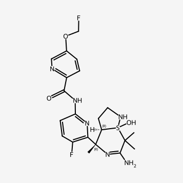 CC1(C)C(N)=N[C@](C)(c2nc(NC(=O)c3ccc(OCF)cn3)ccc2F)[C@H]2CCNS21O